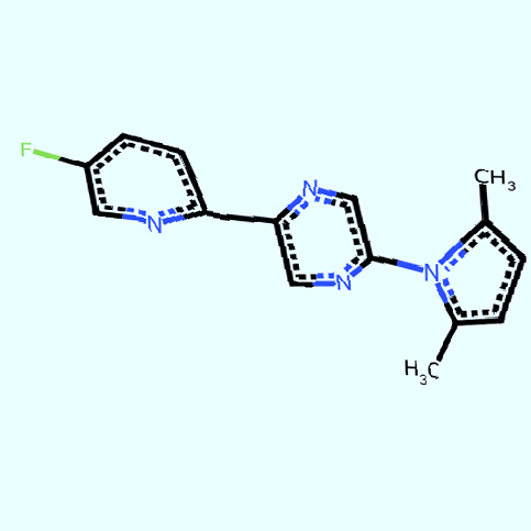 Cc1ccc(C)n1-c1cnc(-c2ccc(F)cn2)cn1